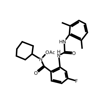 CC(=O)ON(C(=O)c1ccc(F)cc1NC(=O)Nc1c(C)cccc1C)C1CCCCC1